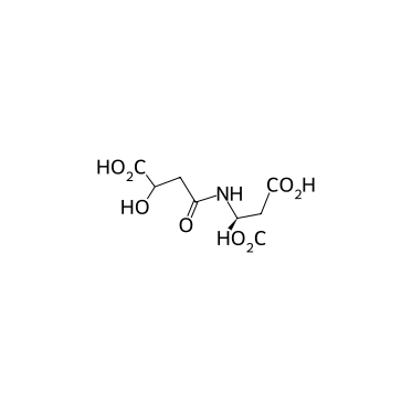 O=C(O)C[C@H](NC(=O)CC(O)C(=O)O)C(=O)O